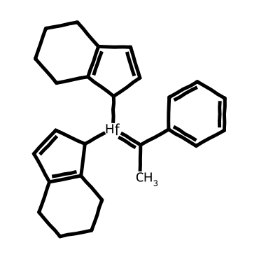 C[C](c1ccccc1)=[Hf]([CH]1C=CC2=C1CCCC2)[CH]1C=CC2=C1CCCC2